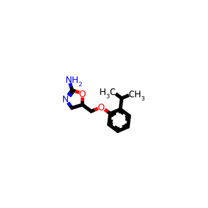 CC(C)c1ccccc1OCC1CN=C(N)O1